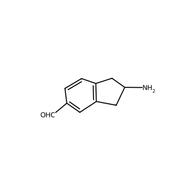 NC1Cc2ccc(C=O)cc2C1